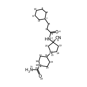 N#CC1(NC(=O)[CH]CC2CCCCC2)CCN(C2CCN(C(N)=O)CC2)C1